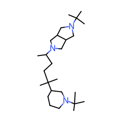 CC(CCC(C)(C)C1CCCN(C(C)(C)C)C1)N1CC2CN(C(C)(C)C)CC2C1